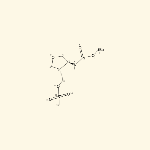 CC(C)(C)OC(=O)N[C@@H]1COC[C@H]1COS(C)(=O)=O